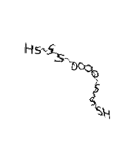 SCCSCCSCCCOc1ccc2ccc(OCCCSCCSCCS)cc2c1